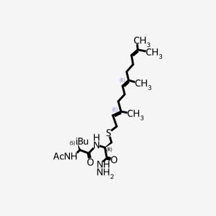 CC[C@H](C)C(NC(C)=O)C(=O)N[C@@H](CSC/C=C(\C)CC/C=C(\C)CCC=C(C)C)C(=O)NN